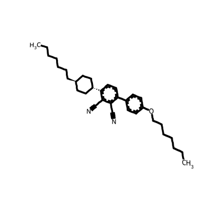 CCCCCCCOc1ccc(-c2ccc([C@H]3CC[C@H](CCCCCCC)CC3)c(C#N)c2C#N)cc1